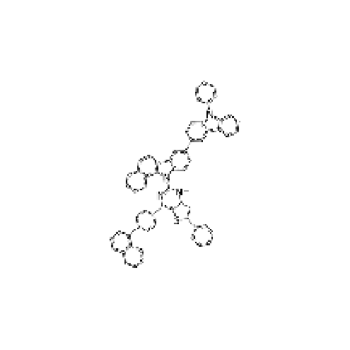 C1=C(c2ccccc2)SC2=C(c3ccc(-c4cccc5ccccc45)cc3)N=C(n3c4ccc(-c5ccc6c(c5)c5ccccc5n6-c5ccccc5)cc4c4ccc5ccccc5c43)NC12